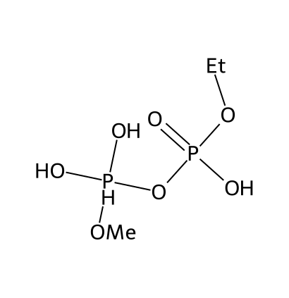 CCOP(=O)(O)O[PH](O)(O)OC